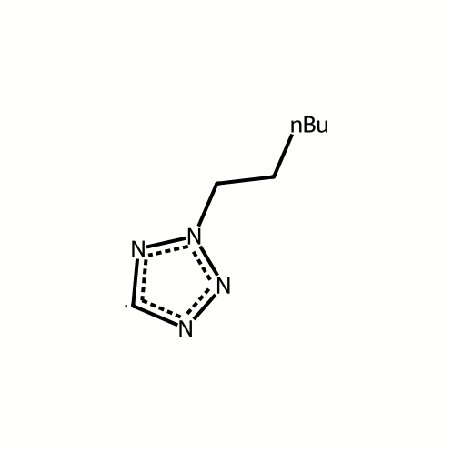 CCCCCCn1n[c]nn1